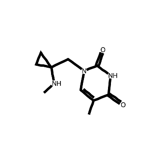 CNC1(Cn2cc(C)c(=O)[nH]c2=O)CC1